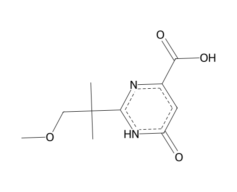 COCC(C)(C)c1nc(C(=O)O)cc(=O)[nH]1